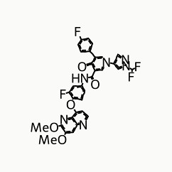 COc1cc2nccc(Oc3ccc(NC(=O)c4cn(-c5cnn(C(F)F)c5)cc(-c5ccc(F)cc5)c4=O)cc3F)c2nc1OC